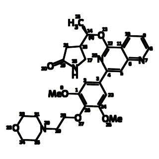 COc1cc(-c2cc3ncccc3c(O[C@H](C)C3CNC(=O)C3)n2)cc(OC)c1OCCN1CCOCC1